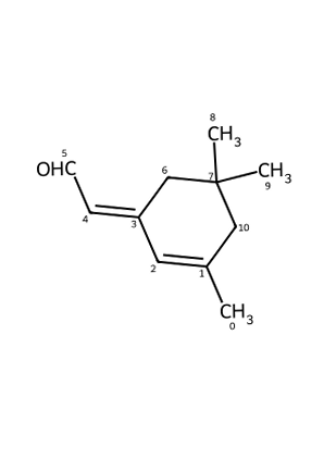 CC1=C/C(=C/C=O)CC(C)(C)C1